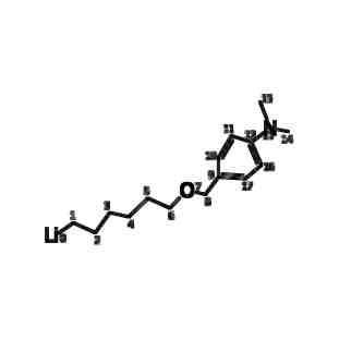 [Li][CH2]CCCCCOCc1ccc(N(C)C)cc1